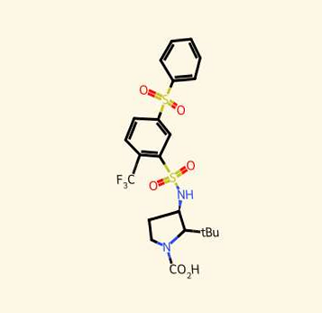 CC(C)(C)C1[C@H](NS(=O)(=O)c2cc(S(=O)(=O)c3ccccc3)ccc2C(F)(F)F)CCN1C(=O)O